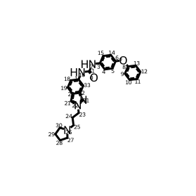 O=C(Nc1ccc(Oc2ccccc2)cc1)Nc1ccc2cn(CCCN3CCCC3)nc2c1